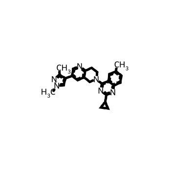 Cc1ccc2nc(C3CC3)nc(N3CCc4ncc(-c5cn(C)nc5C)cc4C3)c2c1